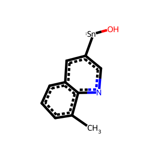 Cc1cccc2c[c]([Sn][OH])cnc12